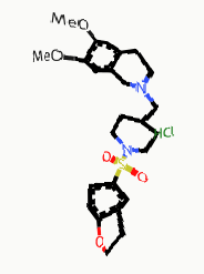 COc1cc2c(cc1OC)CN(CC1CCN(S(=O)(=O)c3ccc4c(c3)CCO4)CC1)CC2.Cl